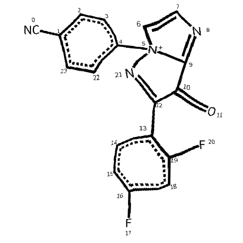 N#Cc1ccc([N+]23C=CN=C2C(=O)C(c2ccc(F)cc2F)=N3)cc1